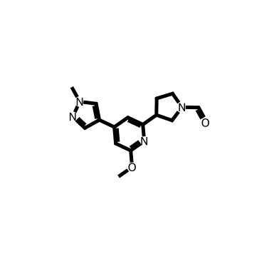 COc1cc(-c2cnn(C)c2)cc(C2CCN(C=O)C2)n1